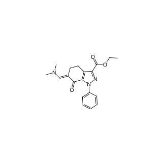 CCOC(=O)c1nn(-c2ccccc2)c2c1CCC(=CN(C)C)C2=O